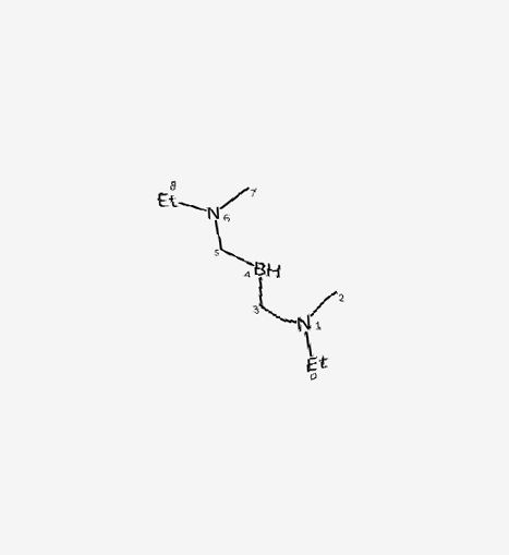 CCN(C)CBCN(C)CC